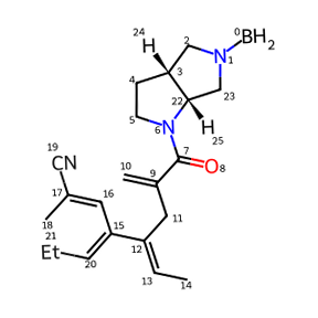 BN1C[C@H]2CCN(C(=O)C(=C)CC(=C\C)/C(/C=C(\C)C#N)=C/CC)[C@H]2C1